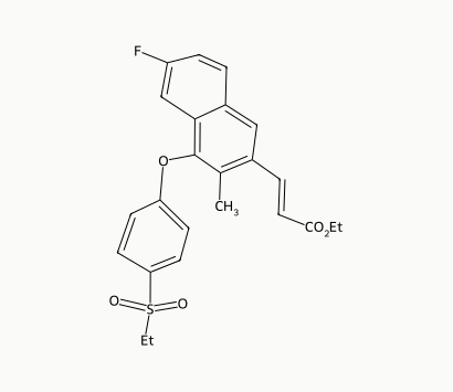 CCOC(=O)C=Cc1cc2ccc(F)cc2c(Oc2ccc(S(=O)(=O)CC)cc2)c1C